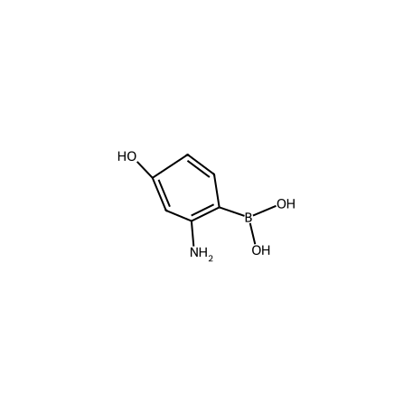 Nc1cc(O)ccc1B(O)O